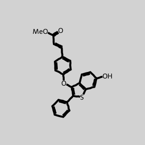 COC(=O)/C=C/c1ccc(Oc2c(-c3ccccc3)sc3cc(O)ccc23)cc1